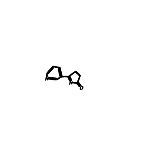 O=C1CCC(c2cccnc2)=N1